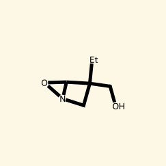 CCC1(CO)CN2OC21